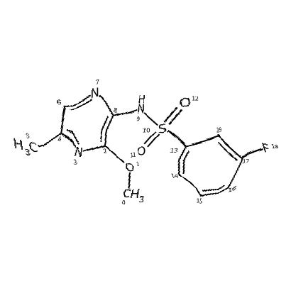 COc1nc(C)cnc1NS(=O)(=O)c1cccc(F)c1